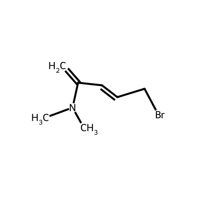 C=C(/C=C/CBr)N(C)C